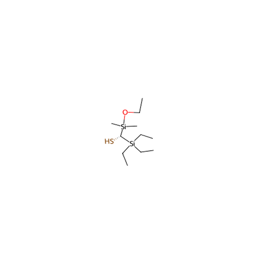 CCO[Si](C)(C)[C@@H](S)[Si](CC)(CC)CC